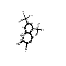 O=c1ccc2c(C(F)(F)F)cc(C(F)(F)F)cc2[nH]c1=O